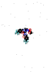 CC(C)(C)OC(=O)N1CC(C)(N(Cc2ccc(C(F)(F)F)cc2)C(=O)CN(C=O)Cc2ccc(C(F)(F)F)cc2)C1